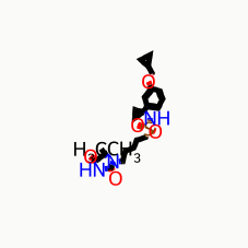 CC1(C)C(=O)NC(=O)N1CCCCCS(=O)(=O)NC1(c2cccc(OCC3CC3)c2)CC1